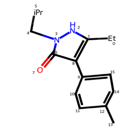 CCc1[nH]n(CC(C)C)c(=O)c1-c1ccc(C)cc1